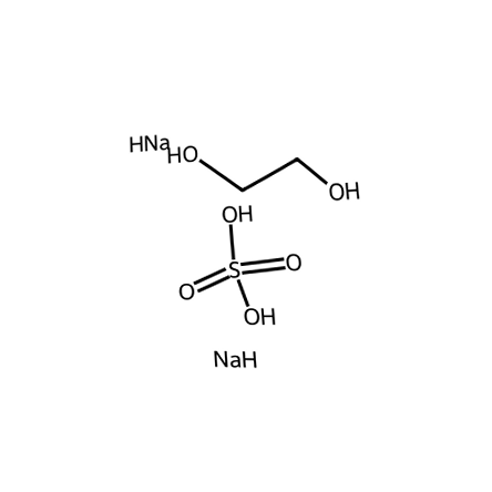 O=S(=O)(O)O.OCCO.[NaH].[NaH]